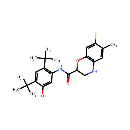 Cc1cc2c(cc1F)OC(C(=O)Nc1cc(O)c(C(C)(C)C)cc1C(C)(C)C)CN2